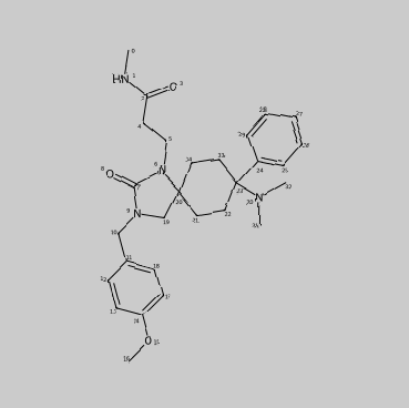 CNC(=O)CCN1C(=O)N(Cc2ccc(OC)cc2)CC12CCC(c1ccccc1)(N(C)C)CC2